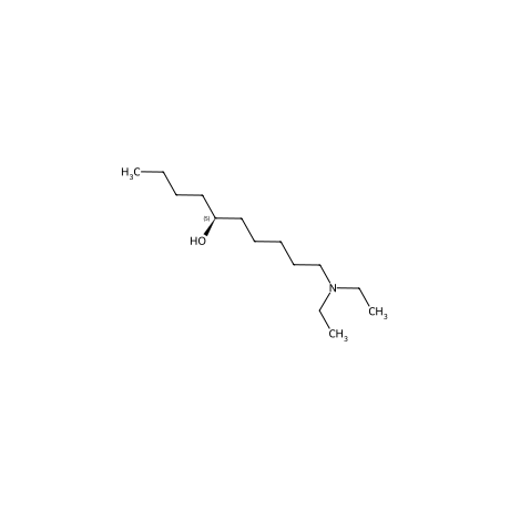 CCCC[C@H](O)CCCCCN(CC)CC